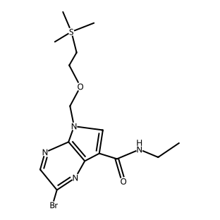 CCNC(=O)c1cn(COCCS(C)(C)C)c2ncc(Br)nc12